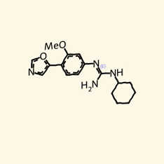 COc1cc(/N=C(\N)NC2CCCCC2)ccc1-c1cnco1